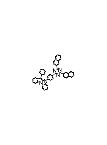 c1ccc(-c2c3ccccc3n3c4ccccc4n(-c4ccc(-c5nc(-c6ccc7ccccc7c6)nc(-c6ccc7ccccc7c6)n5)cc4)c23)cc1